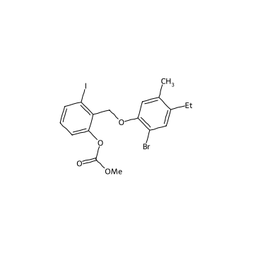 CCc1cc(Br)c(OCc2c(I)cccc2OC(=O)OC)cc1C